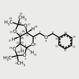 CC1(C)O[C@@H]2OC(COCc3ccccc3)[C@H]3OC(C)(C)O[C@H]3[C@@H]2O1